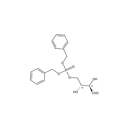 O=C[C@H](O)[C@H](O)COP(=O)(OCc1ccccc1)OCc1ccccc1